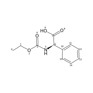 CCOC(=O)N[C@@H](C(=O)O)c1ccccc1